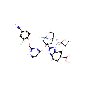 N#Cc1ccc(OCc2nccc(OC3C[C@H]4CC[C@@H](C3)N4Cc3nc4ccc(C(=O)O)cc4n3C[C@@H]3CCO3)n2)c(F)c1